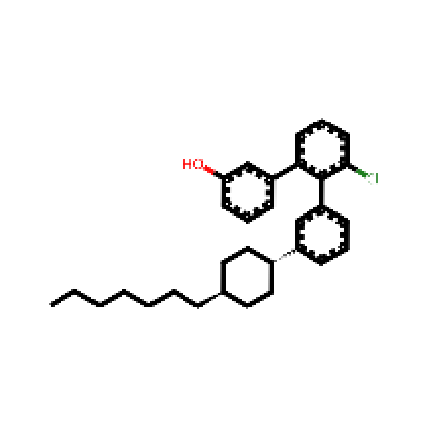 CCCCCCC[C@H]1CC[C@H](c2cccc(-c3c(Cl)cccc3-c3cccc(O)c3)c2)CC1